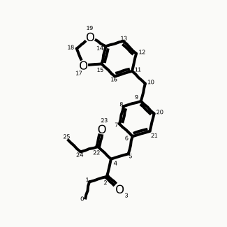 CCC(=O)C(Cc1ccc(Cc2ccc3c(c2)OCO3)cc1)C(=O)CC